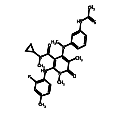 CC(=S)Nc1cccc(N(C)c2c(C(=O)N(C)C3CC3)c(Nc3ccc(C)cc3F)n(C)c(=O)c2C)c1